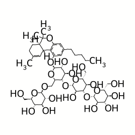 CCCCCc1cc(O[C@@H]2OC(CO[C@@H]3O[C@H](CO)[C@@H](O)[C@H](O)[C@H]3O)[C@@H](O[C@@H]3O[C@H](CO)[C@@H](O)[C@H](O[C@@H]4O[C@H](CO)[C@@H](O)[C@H](O)[C@H]4O)[C@H]3O)[C@H](O)[C@H]2O)c2c(c1)OC(C)(C)[C@@H]1CCC(C)=C[C@@H]21